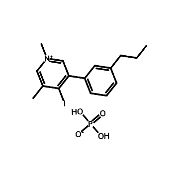 CCCc1cccc(-c2c[n+](C)cc(C)c2I)c1.O=P([O-])(O)O